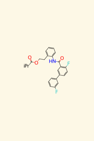 CC(C)C(=O)OCCc1ccccc1NC(=O)c1cc(-c2cccc(F)c2)ccc1F